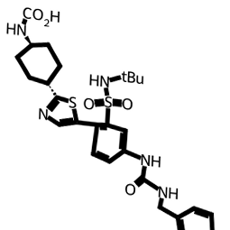 CC(C)(C)NS(=O)(=O)c1cc(NC(=O)NCc2ccccc2)ccc1-c1cnc([C@H]2CC[C@H](NC(=O)O)CC2)s1